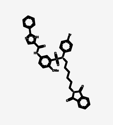 COc1ccc(NC(=O)c2cnc(-c3ccccc3)[nH]2)cc1S(=O)(=O)N(CCCCCCN1C(=O)c2ccccc2C1=O)c1ccc(Br)cc1